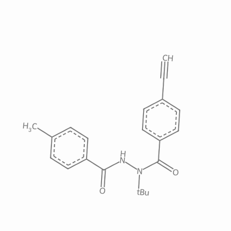 C#Cc1ccc(C(=O)N(NC(=O)c2ccc(C)cc2)C(C)(C)C)cc1